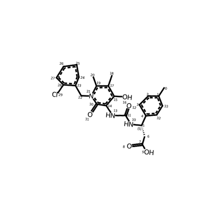 Cc1ccc([C@H](CC(=O)O)NC(=O)Nc2c(O)c(C)c(C)n(Cc3ccccc3Cl)c2=O)cc1